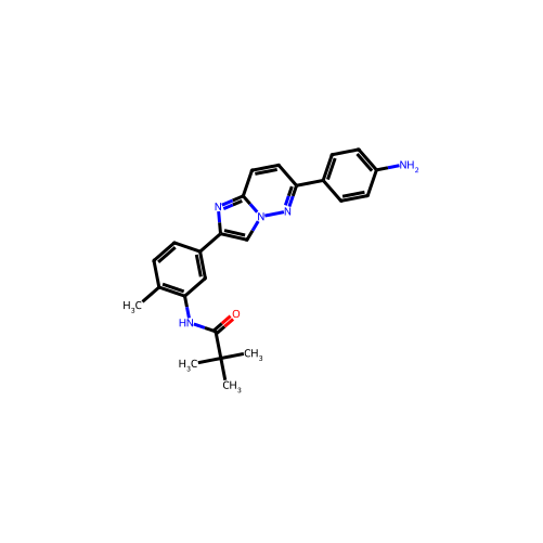 Cc1ccc(-c2cn3nc(-c4ccc(N)cc4)ccc3n2)cc1NC(=O)C(C)(C)C